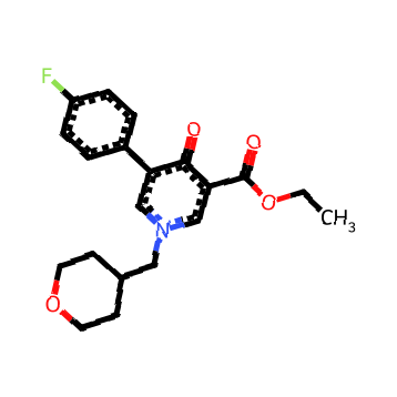 CCOC(=O)c1cn(CC2CCOCC2)cc(-c2ccc(F)cc2)c1=O